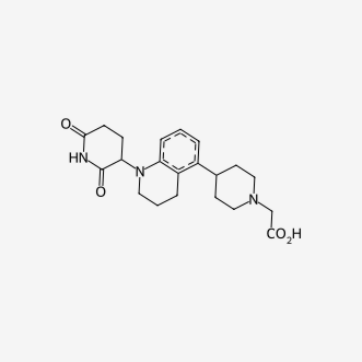 O=C(O)CN1CCC(c2cccc3c2CCCN3C2CCC(=O)NC2=O)CC1